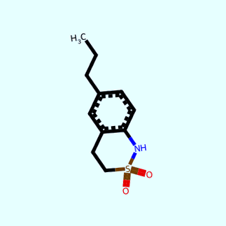 CCCc1ccc2c(c1)CCS(=O)(=O)N2